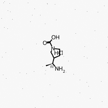 C[C@H](N)C1CCN(C(=O)O)C1.Cl